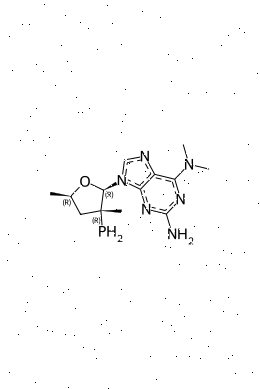 C[C@@H]1C[C@@](C)(P)[C@H](n2cnc3c(N(C)C)nc(N)nc32)O1